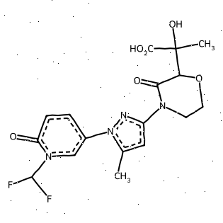 Cc1cc(N2CCOC(C(C)(O)C(=O)O)C2=O)nn1-c1ccc(=O)n(C(F)F)c1